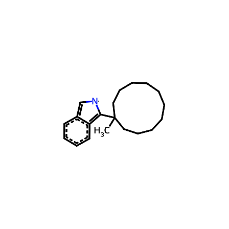 CC1(C2=c3ccccc3=C[N]2)CCCCCCCCCC1